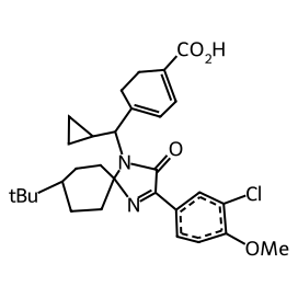 COc1ccc(C2=NC3(CCC(C(C)(C)C)CC3)N(C(C3=CC=C(C(=O)O)CC3)C3CC3)C2=O)cc1Cl